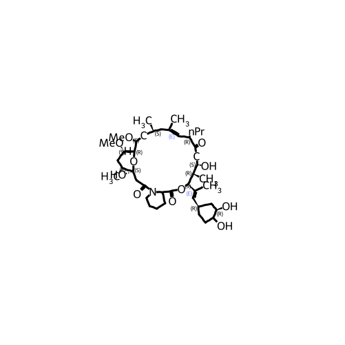 CCC[C@@H]1/C=C(\C)C[C@H](C)C[C@H](OC)[C@H]2O[C@@](O)(CC(=O)N3CCCCC3C(=O)O[C@H](/C(C)=C/[C@@H]3CCC(O)[C@H](O)C3)[C@H](C)[C@@H](O)CC1=O)[C@H](C)C[C@@H]2OC